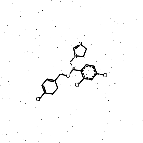 ClC1=CC=C(CO[C@H](CN2C=NCC2)c2ccc(Cl)cc2Cl)CC1